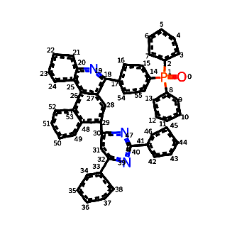 O=P(c1ccccc1)(c1ccccc1)c1ccc(-c2nc3ccccc3c3c2cc(-c2cc(-c4ccccc4)nc(-c4ccccc4)n2)c2ccccc23)cc1